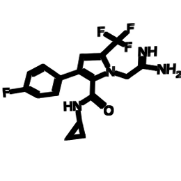 N=C(N)Cn1c(C(F)(F)F)cc(-c2ccc(F)cc2)c1C(=O)NC1CC1